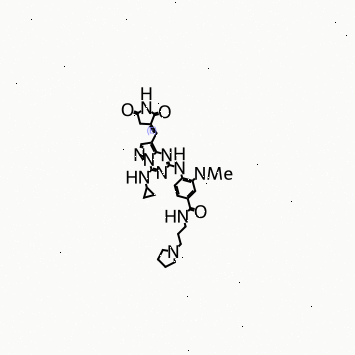 CNc1cc(C(=O)NCCCN2CCCC2)ccc1Nc1nc(NC2CC2)n2ncc(/C=C3\CC(=O)NC3=O)c2n1